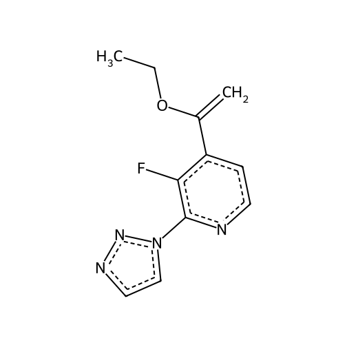 C=C(OCC)c1ccnc(-n2ccnn2)c1F